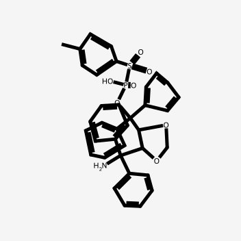 Cc1ccc(S(=O)(=O)P(=O)(O)OC(c2ccccc2)(c2ccccc2)C2OCOC2C(N)(c2ccccc2)c2ccccc2)cc1